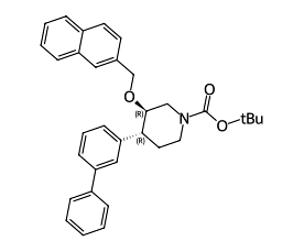 CC(C)(C)OC(=O)N1CC[C@H](c2cccc(-c3ccccc3)c2)[C@@H](OCc2ccc3ccccc3c2)C1